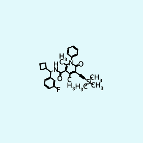 Cc1c(C(=O)N[C@H](c2cccc(F)c2)C2CCC2)c(C)n(-c2ccccc2)c(=O)c1C#C[Si](C)(C)C